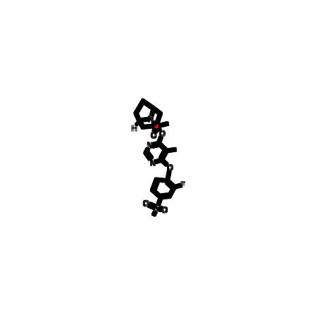 CC(=O)N1C2CC[C@H]1CC(Oc1ncnc(Oc3ccc(S(C)(=O)=O)cc3F)c1C)C2